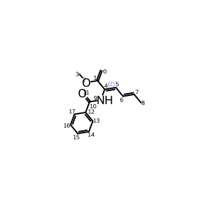 C=C(OC)/C(=C/C=CC)NC(=O)c1ccccc1